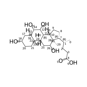 C[C@H](CCC(=O)O)[C@H]1CC[C@H]2[C@@H]3C(O)C(O)[C@@H]4CC(O)CC[C@]4(C)[C@H]3CC(O)[C@]12C